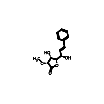 CO[C@H]1C(=O)O[C@@H]([C@H](O)/C=C/c2ccccc2)[C@H]1O